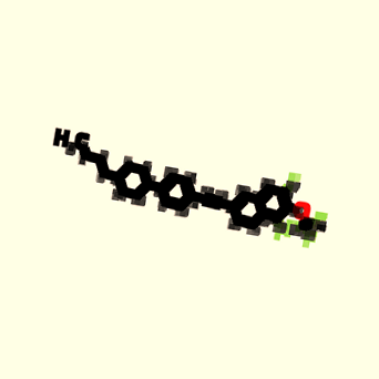 CCCCC1CCC(c2ccc(C#Cc3ccc4c(F)c(OC(F)(F)F)c(F)cc4c3)cc2)CC1